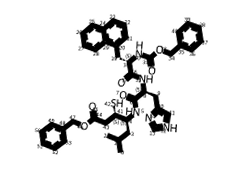 CC(C)C[C@H](NC(=O)[C@H](Cc1c[nH]cn1)NC(=O)[C@H](Cc1cccc2ccccc12)NC(=O)OCc1ccccc1)[C@@H](S)CC(=O)OCc1ccccc1